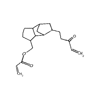 C=CC(=O)CCC1CC2CC1C1C(COC(=O)C=C)CCC21